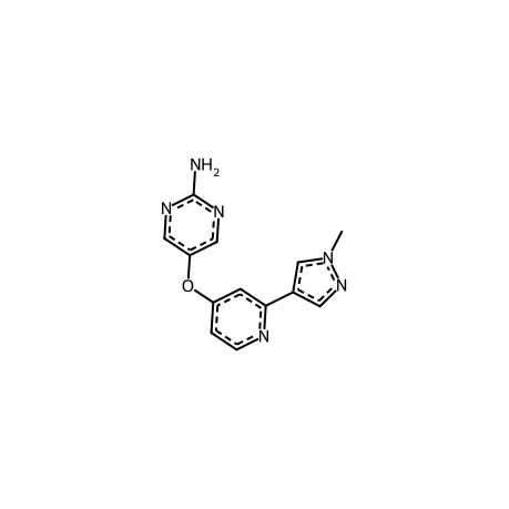 Cn1cc(-c2cc(Oc3cnc(N)nc3)ccn2)cn1